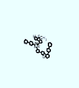 CC1(C)c2ccccc2-c2c(-c3nc(-c4ccc(-c5ccccc5)cc4)nc(-c4cccc(-c5ccc6c(c5)oc5cccc(-c7ccc(-c8ccccc8)cc7)c56)c4)n3)cccc21